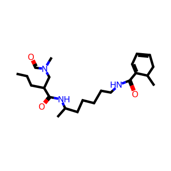 CCCC(CN(C)C=O)C(=O)NC(C)CCCCCNC(=O)C1=CC=CCC1C